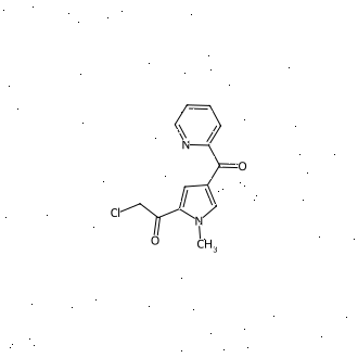 Cn1cc(C(=O)c2ccccn2)cc1C(=O)CCl